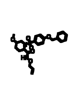 C=CCONC(=O)C1CCC(OC)CN1S(=O)(=O)c1ccc(OCc2ccccc2)cc1